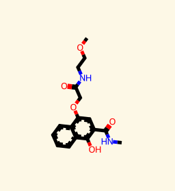 CNC(=O)c1cc(OCC(=O)NCCOC)c2ccccc2c1O